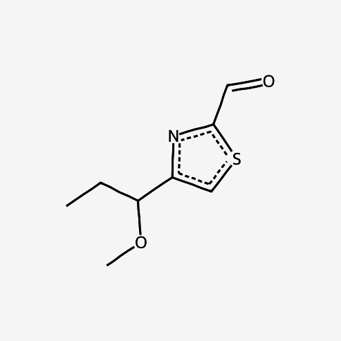 CCC(OC)c1csc(C=O)n1